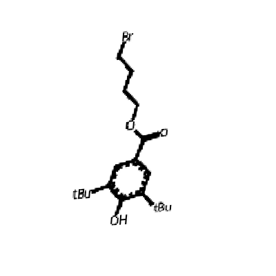 CC(C)(C)c1cc(C(=O)OCCCCBr)cc(C(C)(C)C)c1O